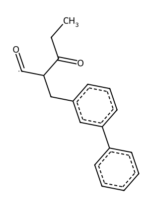 CCC(=O)C([C]=O)Cc1cccc(-c2ccccc2)c1